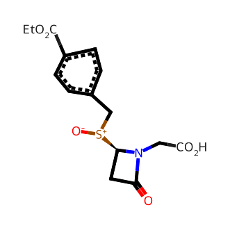 CCOC(=O)c1ccc(C[S+]([O-])[C@@H]2CC(=O)N2CC(=O)O)cc1